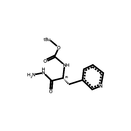 CC(C)(C)OC(=O)N[C@H](Cc1cccnc1)C(=O)NN